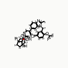 Cc1nc2ccc(-c3cnc(N4C[C@H]5CC[C@@H](C4)C5C(=O)O)nc3)cc2n1Cc1cc(Cl)ccc1OC(F)F